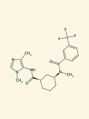 Cc1ncn(C)c1NC(=O)[C@@H]1CCC[C@H](N(C)C(=O)c2cccc(C(F)(F)F)c2)C1